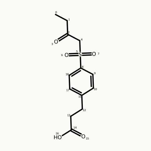 CCC(=O)CS(=O)(=O)c1ccc(CCC(=O)O)cc1